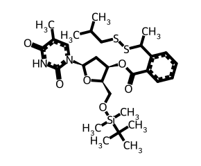 Cc1cn([C@H]2C[C@@H](OC(=O)c3ccccc3C(C)SSCC(C)C)[C@@H](CO[Si](C)(C)C(C)(C)C)O2)c(=O)[nH]c1=O